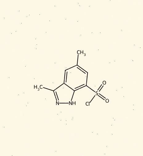 Cc1cc(S(=O)(=O)Cl)c2[nH]nc(C)c2c1